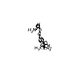 CC(C)(C)OC(=O)N1CCN(CCOCCOc2cnccc2CN)CC1